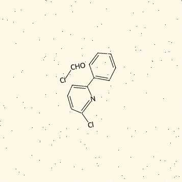 Clc1cccc(-c2ccccc2)n1.O=CCl